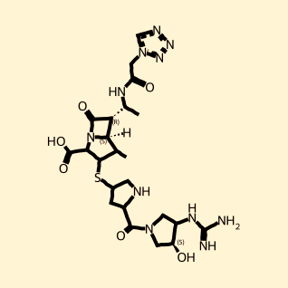 CC(NC(=O)Cn1cnnn1)[C@H]1C(=O)N2C(C(=O)O)C(SC3CNC(C(=O)N4CC(NC(=N)N)[C@@H](O)C4)C3)C(C)[C@H]12